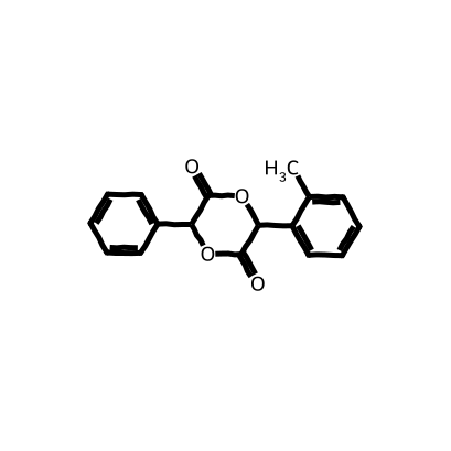 Cc1ccccc1C1OC(=O)C(c2ccccc2)OC1=O